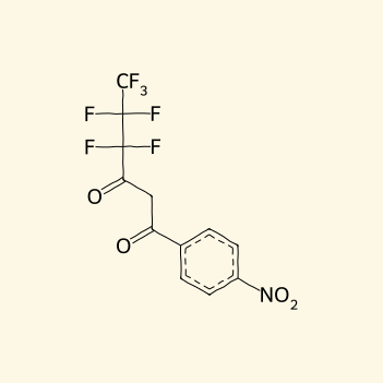 O=C(CC(=O)C(F)(F)C(F)(F)C(F)(F)F)c1ccc([N+](=O)[O-])cc1